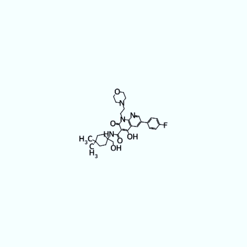 CC1(C)CCC(CO)(NC(=O)c2c(O)c3cc(-c4ccc(F)cc4)cnc3n(CCN3CCOCC3)c2=O)CC1